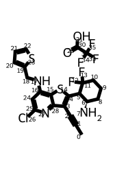 CC#Cc1c(C2[C@@H](N)CCCC2(F)F)sc2c(NCc3cccs3)cc(Cl)nc12.O=C(O)C(F)(F)F